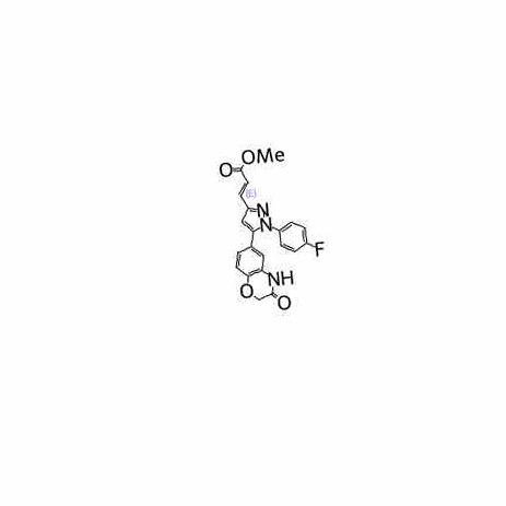 COC(=O)/C=C/c1cc(-c2ccc3c(c2)NC(=O)CO3)n(-c2ccc(F)cc2)n1